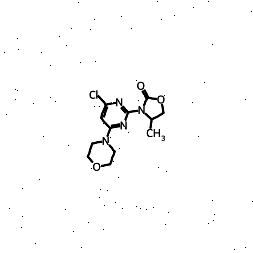 CC1COC(=O)N1c1nc(Cl)cc(N2CCOCC2)n1